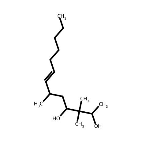 CCCCCC=CC(C)CC(O)C(C)(C)C(C)O